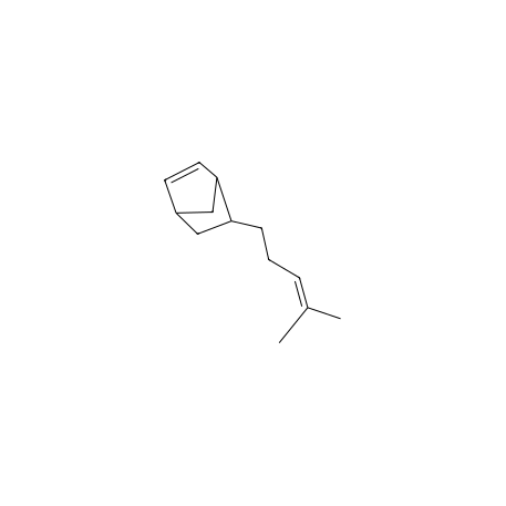 CC(C)=CCCC1CC2C=CC1C2